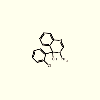 NN1C=Nc2ccccc2C1(O)c1ccccc1Cl